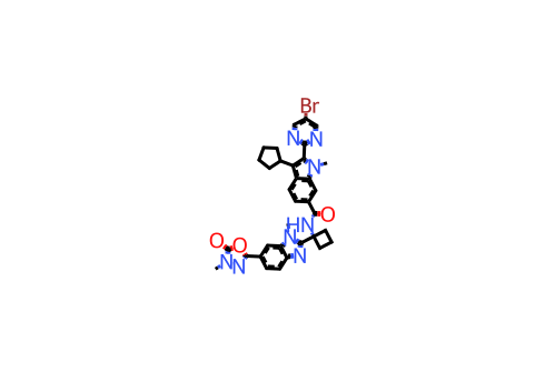 Cn1nc(-c2ccc3nc(C4(NC(=O)c5ccc6c(C7CCCC7)c(-c7ncc(Br)cn7)n(C)c6c5)CCC4)n(C)c3c2)oc1=O